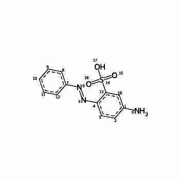 Nc1ccc(N=Nc2ccccc2)c(S(=O)(=O)O)c1